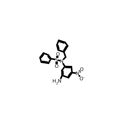 Nc1cc(N(Cc2ccccc2)S(=O)(=O)c2ccccc2)cc([N+](=O)[O-])c1